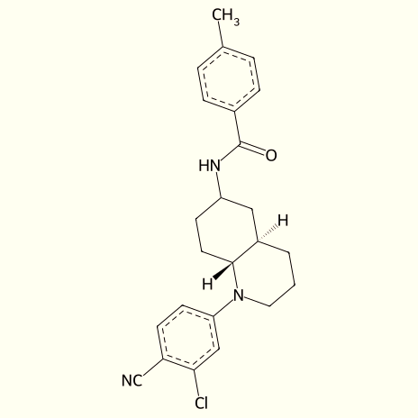 Cc1ccc(C(=O)NC2CC[C@@H]3[C@H](CCCN3c3ccc(C#N)c(Cl)c3)C2)cc1